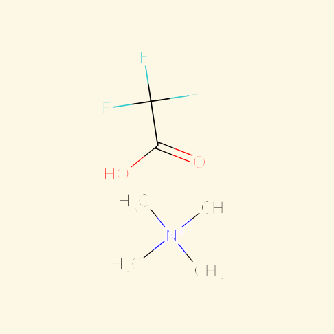 C[N+](C)(C)C.O=C(O)C(F)(F)F